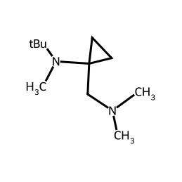 CN(C)CC1(N(C)C(C)(C)C)CC1